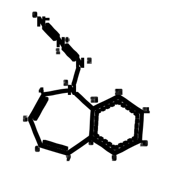 [N-]=[N+]=NN1C=CC=Cc2ccccc21